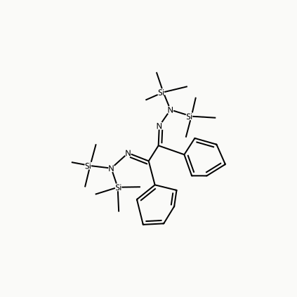 C[Si](C)(C)N(/N=C(/C(=N/N([Si](C)(C)C)[Si](C)(C)C)c1ccccc1)c1ccccc1)[Si](C)(C)C